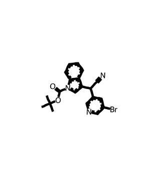 CC(C)(C)OC(=O)n1cc(C(C#N)c2cncc(Br)c2)c2ccccc21